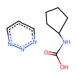 O=C(O)NC1CCCC1.c1cnnnc1